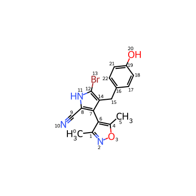 Cc1noc(C)c1-c1c(C#N)[nH]c(Br)c1Cc1ccc(O)cc1